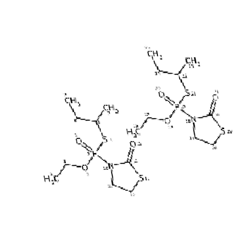 CCOP(=O)(SC(C)CC)N1CCSC1=O.CCOP(=O)(SC(C)CC)N1CCSC1=O